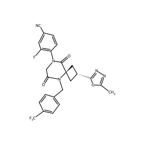 Cc1nnc([C@H]2C[C@]3(C2)C(=O)N(c2ccc(C#N)cc2F)CC(=O)N3Cc2ccc(C(F)(F)F)cc2)o1